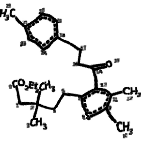 CCOC(=O)CC(C)(C)CCc1sc(C)c(C)c1C(=O)CCc1ccc(C)cc1